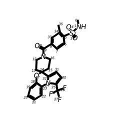 CNS(=O)(=O)c1ccc(C(=O)N2CCC3(CC2)Oc2ccccc2-n2c(C(F)(F)F)ccc23)cc1C